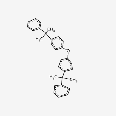 CC(C)(c1ccccc1)c1ccc(Oc2ccc(C(C)(C)c3ccccc3)cc2)cc1